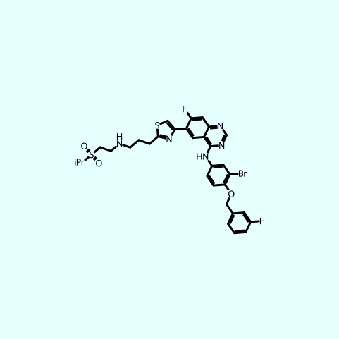 CC(C)S(=O)(=O)CCNCCCc1nc(-c2cc3c(Nc4ccc(OCc5cccc(F)c5)c(Br)c4)ncnc3cc2F)cs1